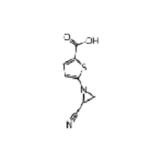 N#CC1CN1c1ccc(C(=O)O)s1